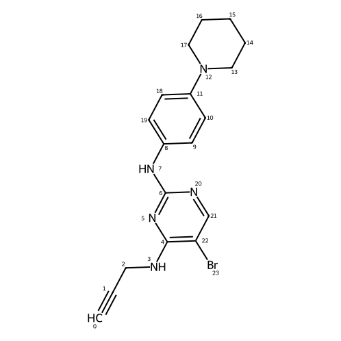 C#CCNc1nc(Nc2ccc(N3CCCCC3)cc2)ncc1Br